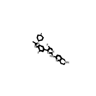 Cc1nc2c(F)cc(-c3nc(Nc4ccc5c(n4)CCNC5)ncc3F)cc2n1[C@H]1CC[C@H](C)CC1